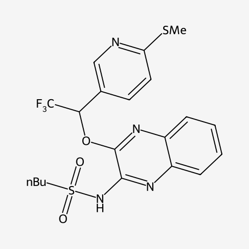 CCCCS(=O)(=O)Nc1nc2ccccc2nc1OC(c1ccc(SC)nc1)C(F)(F)F